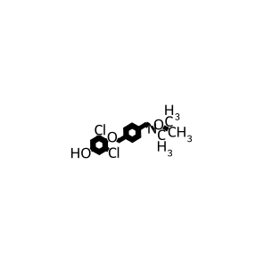 CC(C)(C)ON=Cc1ccc(COc2c(Cl)cc(O)cc2Cl)cc1